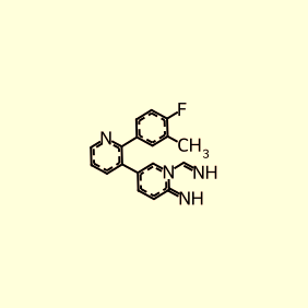 Cc1cc(-c2ncccc2-c2ccc(=N)n(C=N)c2)ccc1F